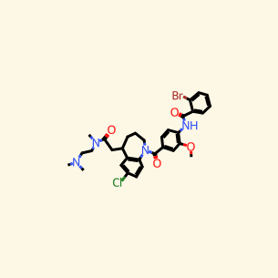 COc1cc(C(=O)N2CCCC(CC(=O)N(C)CCN(C)C)c3cc(Cl)ccc32)ccc1NC(=O)c1ccccc1Br